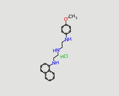 COc1ccc(NCCNCCNc2cccc3ccccc23)cc1.Cl